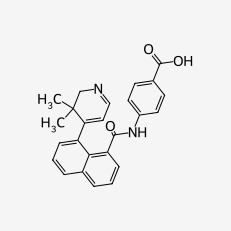 CC1(C)CN=CC=C1c1cccc2cccc(C(=O)Nc3ccc(C(=O)O)cc3)c12